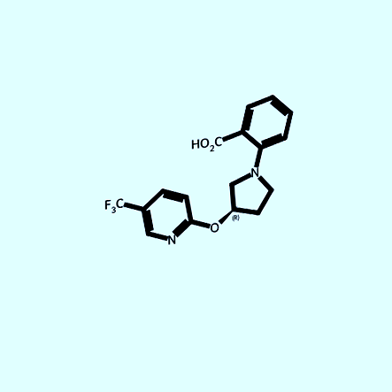 O=C(O)c1ccccc1N1CC[C@@H](Oc2ccc(C(F)(F)F)cn2)C1